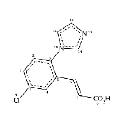 O=C(O)C=Cc1cc(Cl)ccc1-n1ccnc1